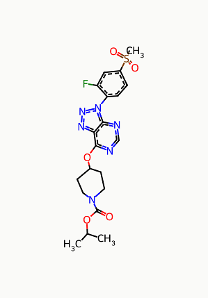 CC(C)OC(=O)N1CCC(Oc2ncnc3c2nnn3-c2ccc(S(C)(=O)=O)cc2F)CC1